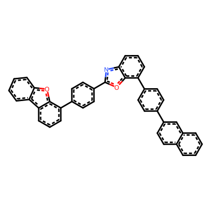 c1ccc2cc(-c3ccc(-c4cccc5nc(-c6ccc(-c7cccc8c7oc7ccccc78)cc6)oc45)cc3)ccc2c1